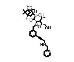 C[C@@H]1[C@@H](NC(=O)[C@@H]2C([C@H](C)O)[C@H](CO)ON2Cc2cccc(C#CCNCc3ccccn3)c2)C[C@H]2C[C@@H]1C2(C)C